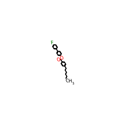 CCCCCCCc1ccc(C(=O)Oc2ccc(-c3ccc(F)cc3)cc2)cc1